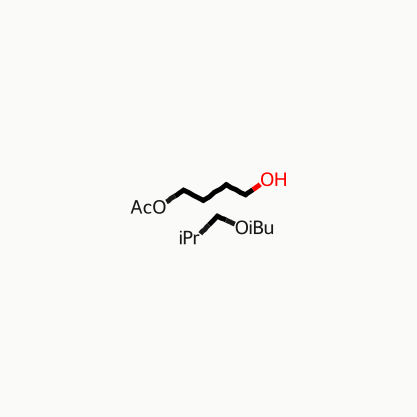 CC(=O)OCCCCO.CC(C)COCC(C)C